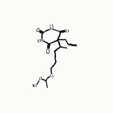 C=CCC1(C(C)CCCOC(C)OCC)C(=O)NC(=O)NC1=O